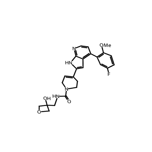 COc1ccc(F)cc1-c1ccnc2[nH]c(C3=CCN(C(=O)NCC4(O)COC4)CC3)cc12